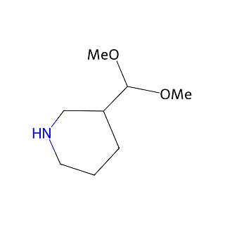 COC(OC)C1CCCNC1